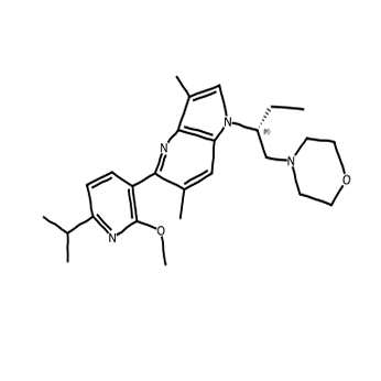 CC[C@H](CN1CCOCC1)n1cc(C)c2nc(-c3ccc(C(C)C)nc3OC)c(C)cc21